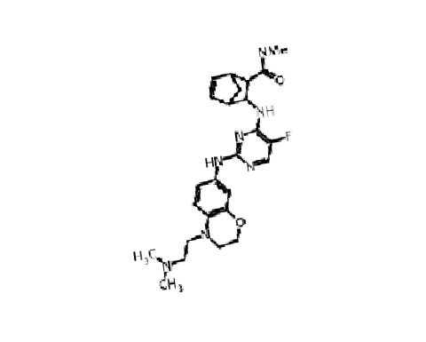 CNC(=O)C1C2C=CC(C2)C1Nc1nc(Nc2ccc3c(c2)OCCN3CCN(C)C)ncc1F